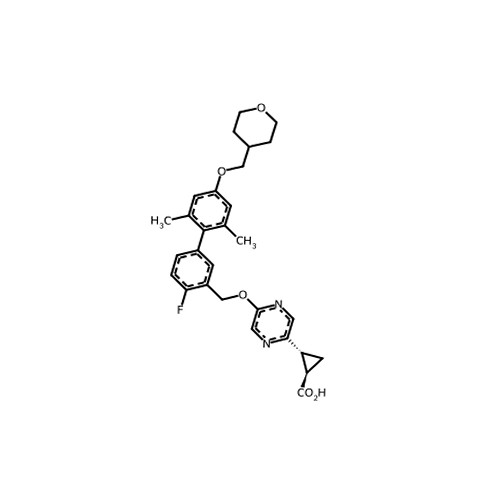 Cc1cc(OCC2CCOCC2)cc(C)c1-c1ccc(F)c(COc2cnc([C@@H]3C[C@H]3C(=O)O)cn2)c1